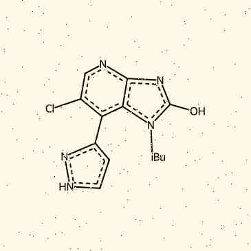 CCC(C)n1c(O)nc2ncc(Cl)c(-c3cc[nH]n3)c21